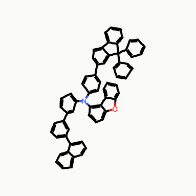 c1ccc(C2(c3ccccc3)c3ccccc3-c3ccc(-c4ccc(N(c5cccc(-c6cccc(-c7cccc8ccccc78)c6)c5)c5cccc6oc7ccccc7c56)cc4)cc32)cc1